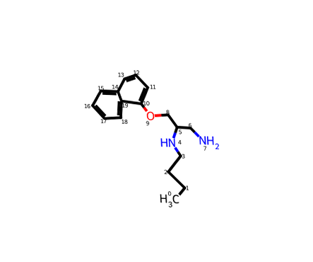 CCCCNC(CN)COc1cccc2ccccc12